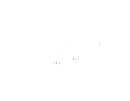 CCOCC(=O)[C@H](CCC(=O)O)NC(=O)[C@H](CC(C)C)NC(=O)OCc1ccccc1